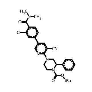 CN(C)C(=O)c1ccc(-c2cnc(N3CCN(C(=O)OC(C)(C)C)C(c4ccccc4)C3)c(C#N)c2)cc1Cl